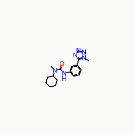 CN(C(=O)Nc1cccc(-c2nnnn2C)c1)C1CCCCC1